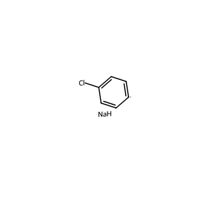 Clc1cc[c]cc1.[NaH]